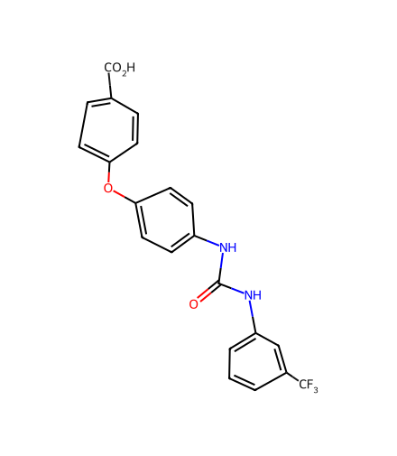 O=C(Nc1ccc(Oc2ccc(C(=O)O)cc2)cc1)Nc1cccc(C(F)(F)F)c1